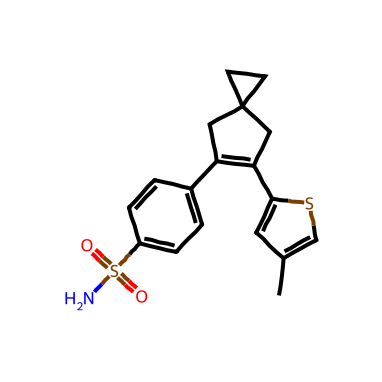 Cc1csc(C2=C(c3ccc(S(N)(=O)=O)cc3)CC3(CC3)C2)c1